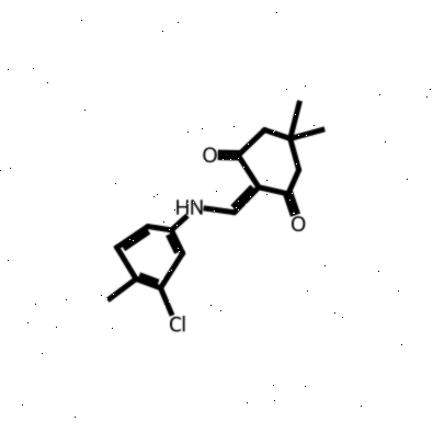 Cc1ccc(NC=C2C(=O)CC(C)(C)CC2=O)cc1Cl